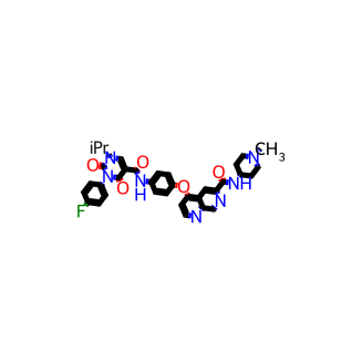 CC(C)n1cc(C(=O)Nc2ccc(Oc3ccnc4cnc(C(=O)NC5CCN(C)CC5)cc34)cc2)c(=O)n(-c2ccc(F)cc2)c1=O